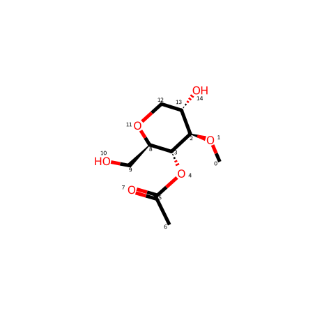 CO[C@H]1[C@H](OC(C)=O)[C@@H](CO)OC[C@@H]1O